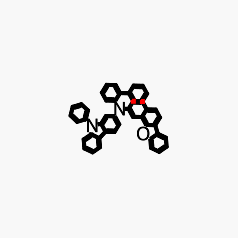 c1ccc(-c2ccccc2N(c2ccc3ccc4c5ccccc5oc4c3c2)c2ccc3c4ccccc4n(-c4ccccc4)c3c2)cc1